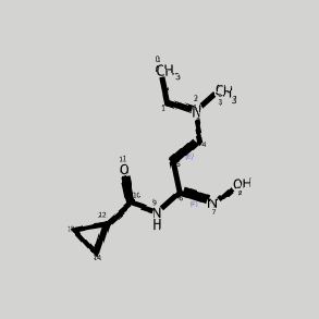 CCN(C)/C=C/C(=N\O)NC(=O)C1CC1